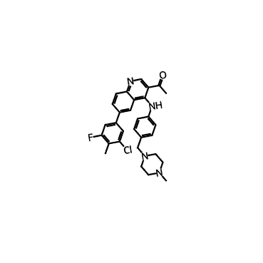 CC(=O)c1cnc2ccc(-c3cc(F)c(C)c(Cl)c3)cc2c1Nc1ccc(CN2CCN(C)CC2)cc1